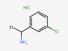 CCC(N)c1cccc(Cl)c1.Cl